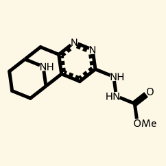 COC(=O)NNc1cc2c(nn1)CC1CCCC2N1